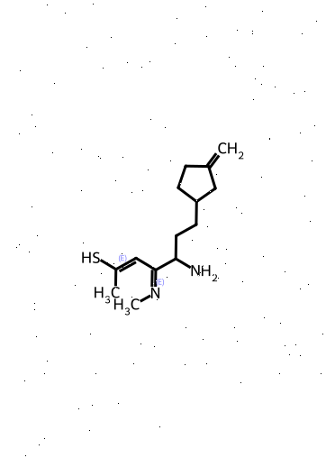 C=C1CCC(CCC(N)C(/C=C(\C)S)=N/C)C1